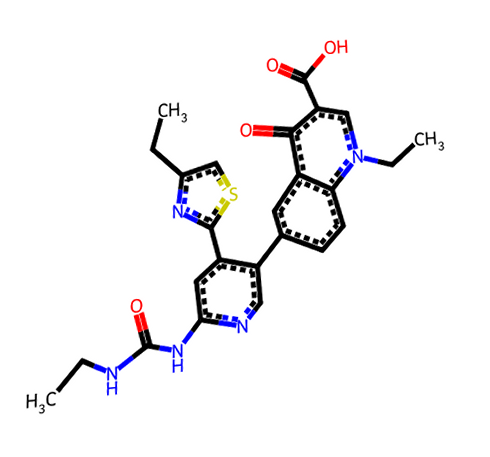 CCNC(=O)Nc1cc(-c2nc(CC)cs2)c(-c2ccc3c(c2)c(=O)c(C(=O)O)cn3CC)cn1